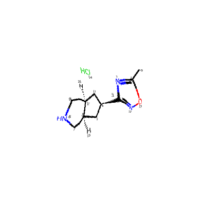 Cc1nc([C@H]2C[C@H]3CNC[C@H]3C2)no1.Cl